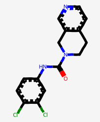 O=C(Nc1ccc(Cl)c(Cl)c1)N1CCc2ccncc2C1